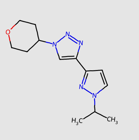 CC(C)n1ccc(-c2cn(C3CCOCC3)nn2)n1